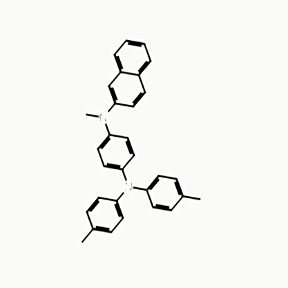 Cc1ccc(N(c2ccc(C)cc2)c2ccc(N(C)c3ccc4ccccc4c3)cc2)cc1